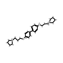 c1cc(-c2ccc(OCCCN3CCCC3)cc2)ccc1OCCCN1CCCC1